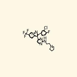 Fc1ccc(-c2nn3cc(C(F)(F)F)ccc3c2-c2ccnc(NCCN3CCCC3)n2)cc1Cl